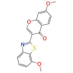 COc1ccc2c(=O)c(-c3nc4cccc(OC)c4s3)coc2c1